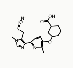 Cc1nc(-c2nnn(C)c2CN=[N+]=[N-])ccc1OC1CCCC(C(=O)O)C1